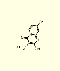 CCOC(=O)c1c(O)nc2cc(Br)ccn2c1=O